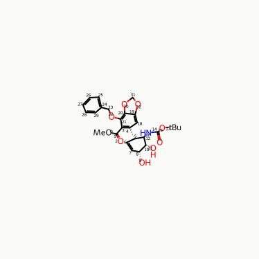 COC(=O)c1c([C@H]2C=C[C@@H](O)[C@@H](O)[C@@H]2NC(=O)OC(C)(C)C)cc2c(c1OCc1ccccc1)OCO2